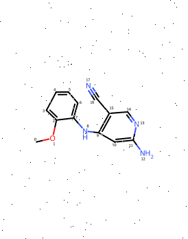 COc1ccccc1Nc1cc(N)ncc1C#N